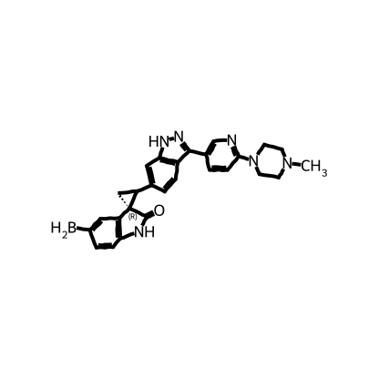 Bc1ccc2c(c1)[C@]1(CC1c1ccc3c(-c4ccc(N5CCN(C)CC5)nc4)n[nH]c3c1)C(=O)N2